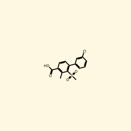 Cc1c(C(=O)O)ccc(-c2cccc(Cl)c2)c1S(C)(=O)=O